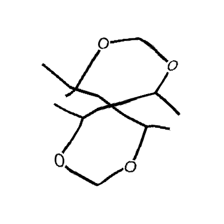 CC1OCOC(C)C12C(C)OCOC2(C)C